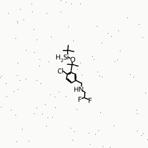 CC(C)(C)[SiH2]OC(C)(C)c1cc(CNCC(F)F)ccc1Cl